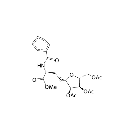 COC(=O)[C@H](CS[C@H]1O[C@H](COC(C)=O)[C@@H](OC(C)=O)[C@H]1OC(C)=O)NC(=O)c1ccccc1